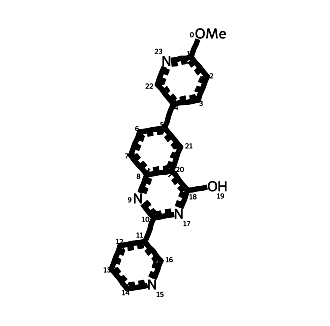 COc1ccc(-c2ccc3nc(-c4cccnc4)nc(O)c3c2)cn1